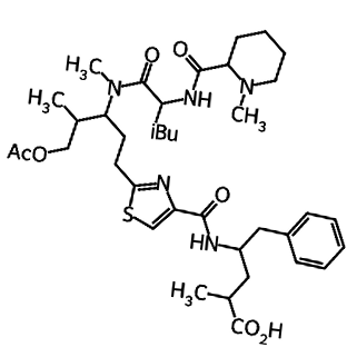 CCC(C)C(NC(=O)C1CCCCN1C)C(=O)N(C)C(CCc1nc(C(=O)NC(Cc2ccccc2)CC(C)C(=O)O)cs1)C(C)COC(C)=O